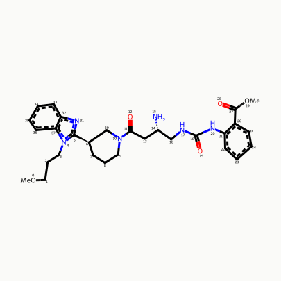 COCCCn1c([C@@H]2CCCN(C(=O)C[C@H](N)CNC(=O)Nc3ccccc3C(=O)OC)C2)nc2ccccc21